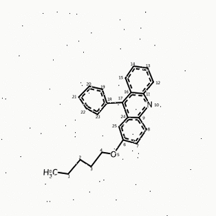 CCCCCOc1ccc2nc3ccccc3c(-c3ccccc3)c2c1